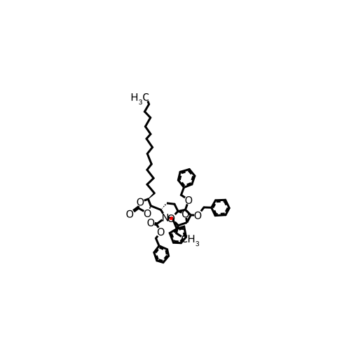 CCCCCCCCCCCCCC[C@@H]1OC(=O)O[C@H]1[C@H](CCC12OC(CC)C(O1)C(OCc1ccccc1)C2OCc1ccccc1)N(Cc1ccccc1)C(=O)OCc1ccccc1